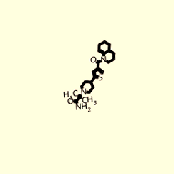 CC(C)(C(N)=O)N1CCC(c2cc(C(=O)N3CCCC4CCCC=C43)cs2)CC1